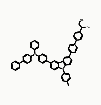 Cc1ccc(-n2c3ccc(-c4ccc(-c5ccc(C(CC(C)(C)C)C(C)(C)C)cc5)cc4)cc3c3cc(-c4ccc(N(c5ccccc5)c5ccc(-c6ccccc6)cc5)cc4)ccc32)cc1